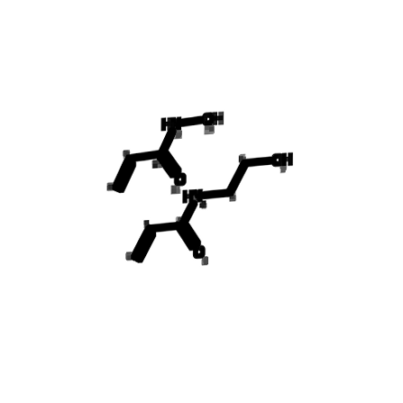 C=CC(=O)NCCO.C=CC(=O)NO